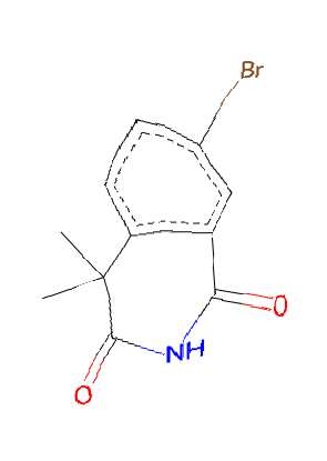 CC1(C)C(=O)NC(=O)c2cc(Br)ccc21